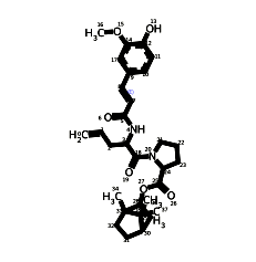 C=CCC(NC(=O)/C=C/c1ccc(O)c(OC)c1)C(=O)N1CCCC1C(=O)OC1CC2CCC1(C)C2(C)C